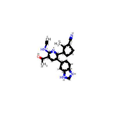 C#CNc1nc(-c2cccc(C#N)c2C)c(-c2ccc3nc[nH]c3c2)cc1C(C)=O